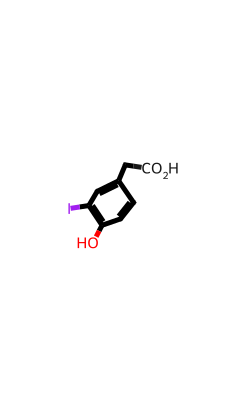 O=C(O)Cc1ccc(O)c(I)c1